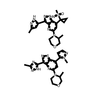 Cc1cc(-c2nsc3c(C4(S(C)(=N)=O)CC4)cc(N4CCOCC4C)nc23)[nH]n1.Cc1n[nH]c(-c2nsc3c(-c4ccnn4C)cc(N4CCOCC4C)nc23)n1